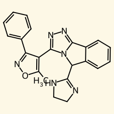 Cc1onc(-c2ccccc2)c1-c1nnc2n1C(C1=NCCN1)c1ccccc1-2